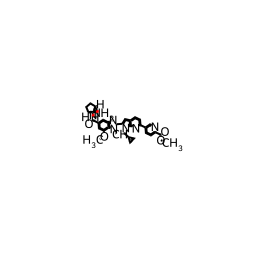 COC(=O)c1ccc(-c2ccc3cc(-c4nc5cc(C(=O)N6C[C@H]7CC[C@@H]6[C@@H]7N)cc(OC)c5n4C)n(CC4CC4)c3n2)cn1